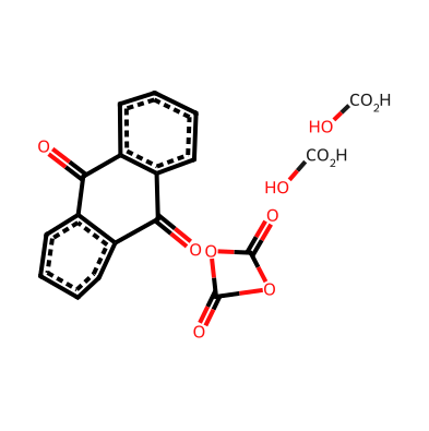 O=C(O)O.O=C(O)O.O=C1OC(=O)O1.O=C1c2ccccc2C(=O)c2ccccc21